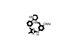 COc1ccc(Nc2nc(C)c(C)s2)cc1CN[C@H]1CCCN[C@@H]1c1ccccc1